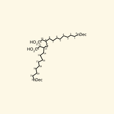 CCCCCCCCCCCCCCCCCCC(CC(=O)O)SC(CCCCCCCCCCCCCCCCCC)CC(=O)O